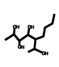 CCCCC(C(C)O)C(O)C(O)C(C)O